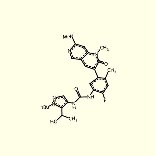 CNc1cc2c(cn1)cc(-c1cc(NC(=O)Nc3cnn(C(C)(C)C)c3C(C)O)c(F)cc1C)c(=O)n2C